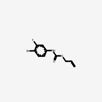 C=CCOC(=O)Nc1ccc(Br)c(F)c1